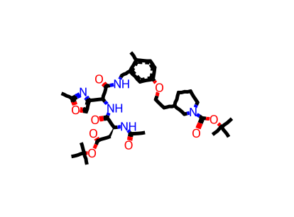 CC(=O)N[C@@H](CC(=O)OC(C)(C)C)C(=O)NC(C(=O)NCc1cc(OCCC2CCCN(C(=O)OC(C)(C)C)C2)ccc1C)c1coc(C)n1